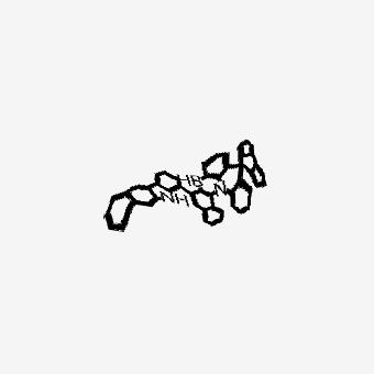 B1c2cccc3c2N(c2ccccc2C32c3ccccc3-c3ccccc32)c2c1c(-c1cccc3c1[nH]c1cc4ccccc4cc13)cc1ccccc21